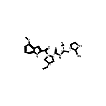 CC[C@@H]1C[C@@H](C(=O)N[C@H](C#N)C[C@@H]2CCNC2O)N(C(=O)c2cc3c(OC)cccc3[nH]2)C1